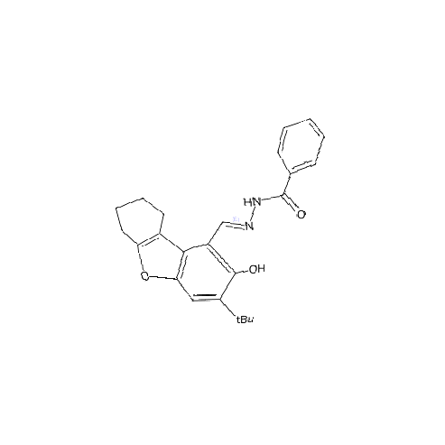 CC(C)(C)c1cc2oc3c(c2c(/C=N/NC(=O)c2ccccc2)c1O)CCCC3